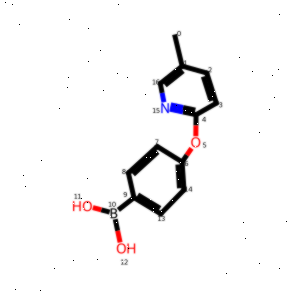 Cc1ccc(Oc2ccc(B(O)O)cc2)nc1